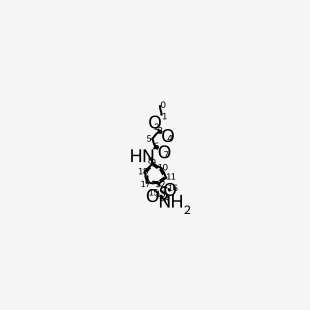 CCOC(=O)CC(=O)Nc1ccc(S(N)(=O)=O)cc1